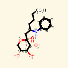 O=C(O)CCCC(C[C@]1(O)OC[C@@H](O)[C@H](O)[C@H]1O)Nc1ccccc1